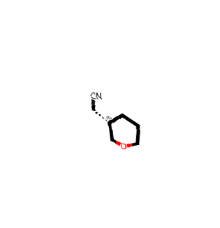 N#CC[C@@H]1CCCOC1